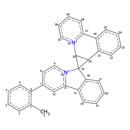 Cc1ccccc1-c1cc[n+]2c(c1)-c1ccccc1C21C2c3ccccc3-c3cccc[n+]3C21